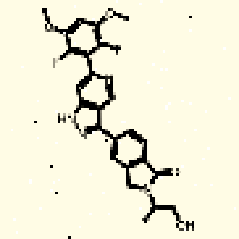 COc1cc(OC)c(F)c(-c2cc3[nH]nc(-c4ccc5c(c4)CN(C(C)CO)C5=O)c3cn2)c1F